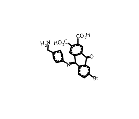 NCc1ccc(N=C2c3ccc(Br)cc3C(=O)c3cc(C(=O)O)c(C(=O)O)cc32)cc1